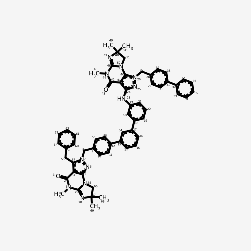 CN1C(=O)c2c(nn(Cc3ccc(-c4cccc(-c5cccc(Nc6nn(Cc7ccc(-c8ccccc8)cc7)c7c6C(=O)N(C)C6=NC(C)(C)CN67)c5)c4)cc3)c2Cc2ccccc2)N2CC(C)(C)N=C12